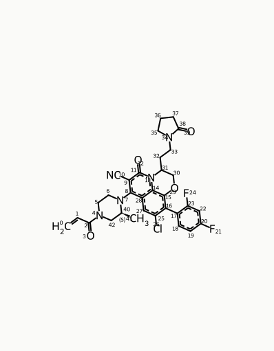 C=CC(=O)N1CCN(c2c(C#N)c(=O)n3c4c(c(-c5ccc(F)cc5F)c(Cl)cc24)OCC3CCN2CCCC2=O)[C@@H](C)C1